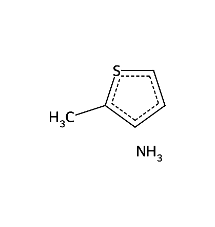 Cc1cccs1.N